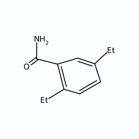 CCc1ccc(CC)c(C(N)=O)c1